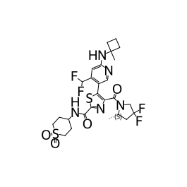 C[C@H]1CC(F)(F)CN1C(=O)c1nc(C(=O)NC2CCS(=O)(=O)CC2)sc1-c1cnc(NC2(C)CCC2)cc1C(F)F